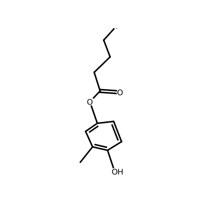 [CH2]CCCC(=O)Oc1ccc(O)c(C)c1